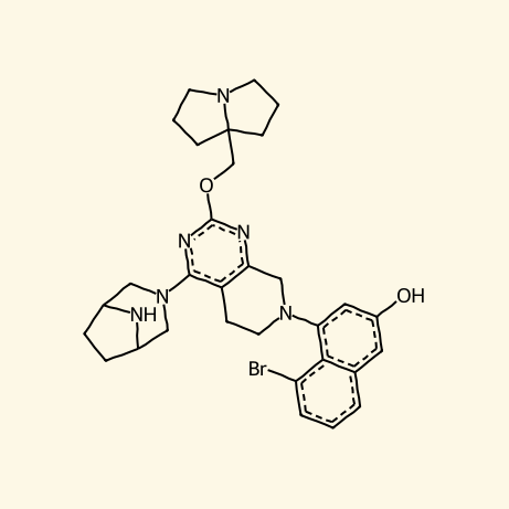 Oc1cc(N2CCc3c(nc(OCC45CCCN4CCC5)nc3N3CC4CCC(C3)N4)C2)c2c(Br)cccc2c1